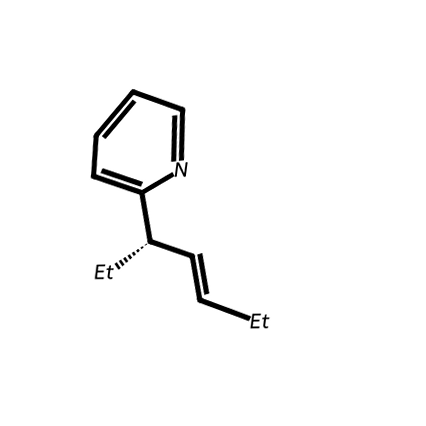 CC/C=C/[C@H](CC)c1ccccn1